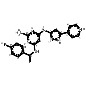 CC(Nc1cc(Nc2cc(-c3ccncc3)[nH]n2)nc(N)n1)c1ccc(F)cc1